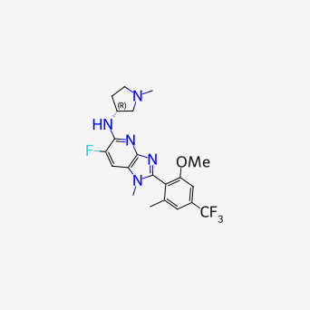 COc1cc(C(F)(F)F)cc(C)c1-c1nc2nc(N[C@@H]3CCN(C)C3)c(F)cc2n1C